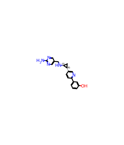 Nc1ncc(CN[C@H]2C[C@@H]2c2ccc(-c3cccc(O)c3)nc2)cn1